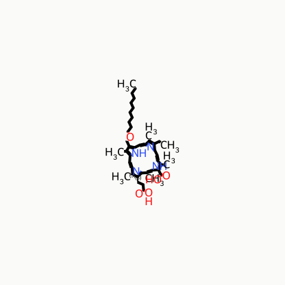 CCCCCCCCCCCOCc1c(C)c2cc3nc(c(C)c4[nH]c(cc5nc(cc1[nH]2)C(C)=C5CC)c(C)c4C(=O)O)[C@@H](CCC(=O)O)[C@@H]3C